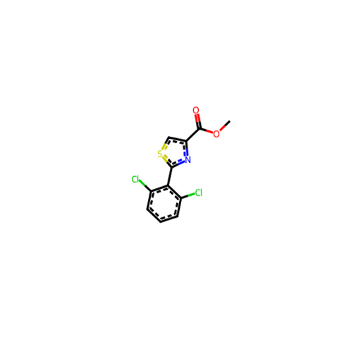 COC(=O)c1csc(-c2c(Cl)cccc2Cl)n1